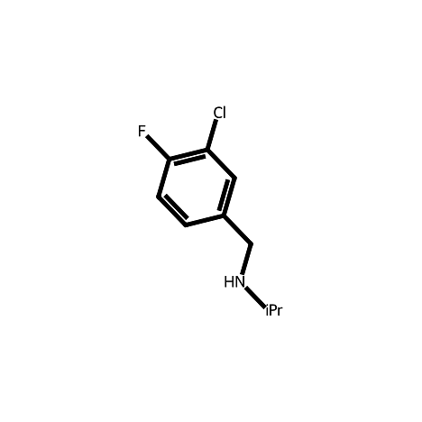 CC(C)NCc1ccc(F)c(Cl)c1